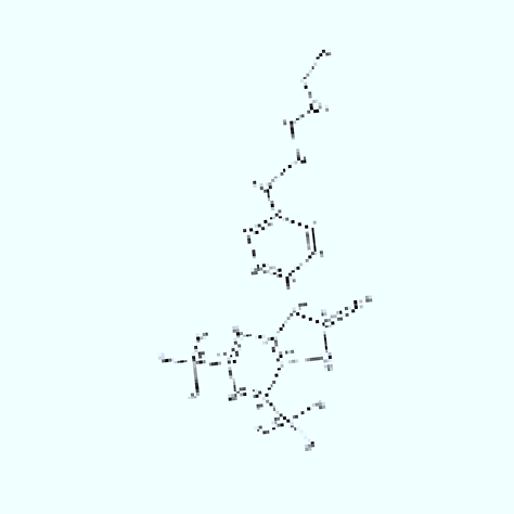 CCOCCOc1ccc(C2C(=O)Oc3c2cc(C(C)(C)C)cc3C(C)(C)C)cc1